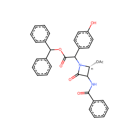 CC(=O)O[C@@H]1C(NC(=O)c2ccccc2)C(=O)N1C(C(=O)OC(c1ccccc1)c1ccccc1)c1ccc(O)cc1